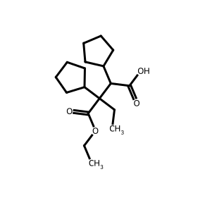 CCOC(=O)C(CC)(C1CCCC1)C(C(=O)O)C1CCCC1